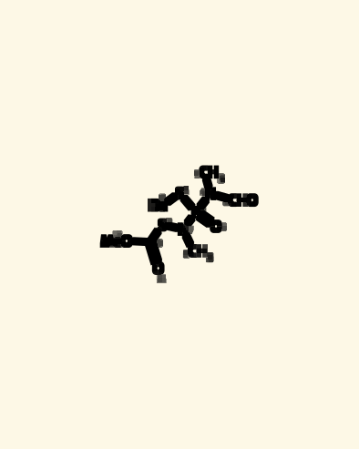 CCC(C)SP(=O)(N(C)C=O)N(C)SC(=O)OC